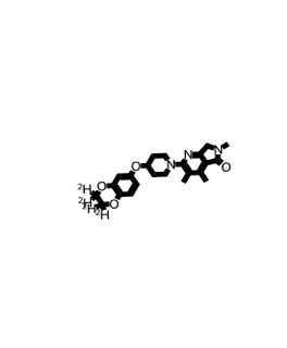 [2H]C1([2H])Oc2ccc(OC3CCN(c4nc5c(c(C)c4C)C(=O)N(C)C5)CC3)cc2OC1([2H])[2H]